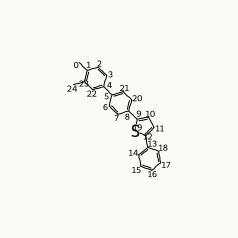 Cc1ccc(-c2ccc(-c3ccc(-c4ccccc4)s3)cc2)cc1C